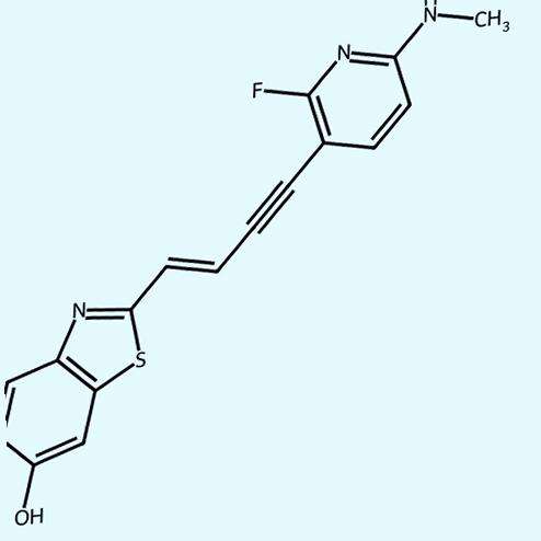 CNc1ccc(C#CC=Cc2nc3ccc(O)cc3s2)c(F)n1